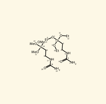 CCO[Si](CCNC(N)=O)(OCC)OCC.CO[Si](CCNC(N)=O)(OC)OC